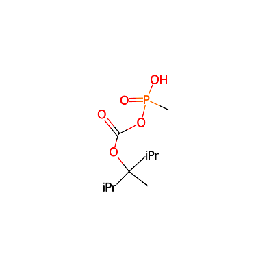 CC(C)C(C)(OC(=O)OP(C)(=O)O)C(C)C